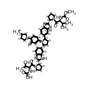 COC(=O)N[C@H](C(=O)N1CCC[C@H]1c1nc2ccc(C3CC[C@H](c4ccc5nc([C@@H]6CCCN6C(=O)[C@@H](NC(=O)O)C(C)C)[nH]c5c4)N3c3ccc(N4CCC(C)C4)c(F)c3)cc2[nH]1)C(C)C